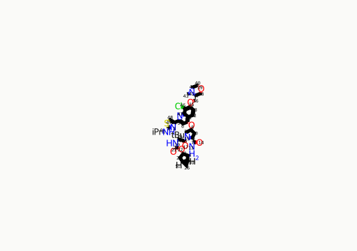 CC(C)Nc1nc(-c2cc(O[C@@H]3C[C@@H](C(N)=O)N(C(=O)[C@@H](NC(=O)O[C@@H]4C[C@@H]5C[C@@H]5C4)C(C)(C)C)C3)c3ccc(OC[C@H]4COCCN4C)c(Cl)c3n2)cs1